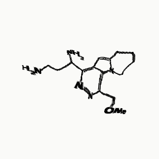 COCc1nnc(C(N)CCN)c2cc3n(c12)CCCC3